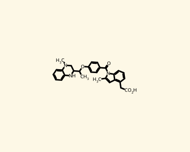 Cc1cc2c(CC(=O)O)cccc2n1C(=O)c1ccc(OC(C)C2CN(C)c3ccccc3N2)cc1